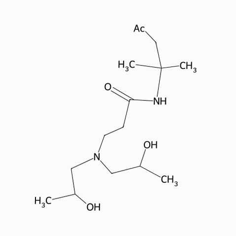 CC(=O)CC(C)(C)NC(=O)CCN(CC(C)O)CC(C)O